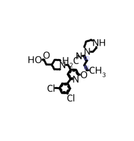 C=N/C(=C\C=C(/C)Oc1cc(CN2CCC(CC(=O)O)CC2)cc(-c2cc(Cl)cc(Cl)c2)n1)N1CCCNCC1